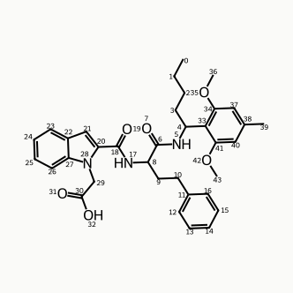 CCCCC(NC(=O)C(CCc1ccccc1)NC(=O)c1cc2ccccc2n1CC(=O)O)c1c(OC)cc(C)cc1OC